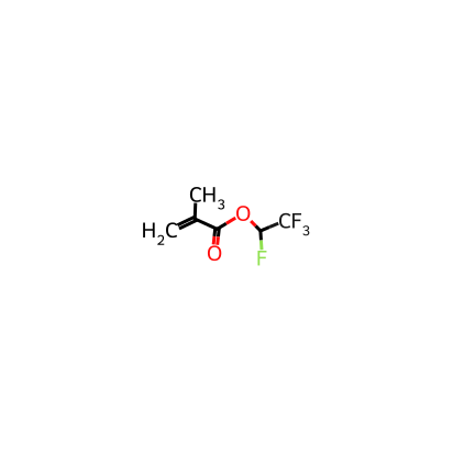 C=C(C)C(=O)OC(F)C(F)(F)F